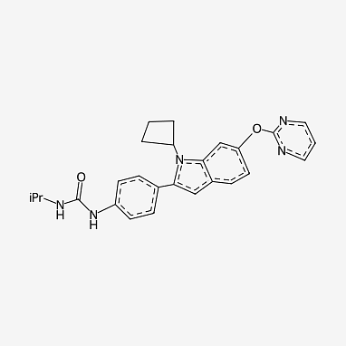 CC(C)NC(=O)Nc1ccc(-c2cc3ccc(Oc4ncccn4)cc3n2C2CCC2)cc1